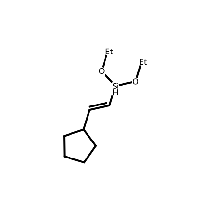 CCO[SiH](C=CC1CCCC1)OCC